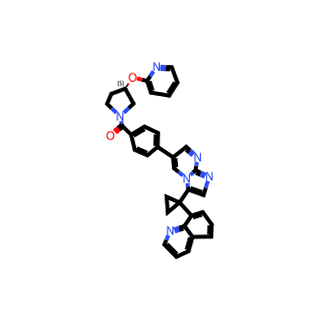 O=C(c1ccc(-c2cnc3ncc(C4(c5cccc6cccnc56)CC4)n3c2)cc1)N1CC[C@H](Oc2ccccn2)C1